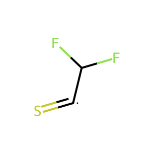 FC(F)[C]=S